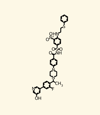 CC(c1ccc(-c2cncc(O)c2)cc1F)N1CCN(c2ccc(C(=O)NS(=O)(=O)c3ccc(NCCSc4ccccc4)c([N+](=O)[O-])c3)cc2)CC1